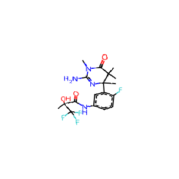 CN1C(=O)C(C)(C)C(C)(c2cc(NC(=O)C(C)(O)C(F)(F)F)ccc2F)N=C1N